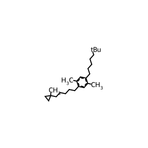 Cc1cc(CCCCCC2(C)CC2)c(C)cc1CCCCCC(C)(C)C